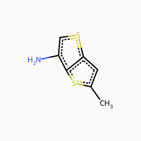 Cc1cc2scc(N)c2s1